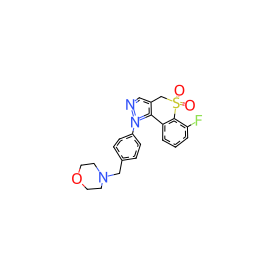 O=S1(=O)Cc2cnn(-c3ccc(CN4CCOCC4)cc3)c2-c2cccc(F)c21